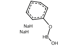 OBOc1ccccc1.[NaH].[NaH]